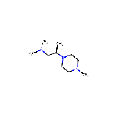 CC(CN(C)C)N1CCN(C)CC1